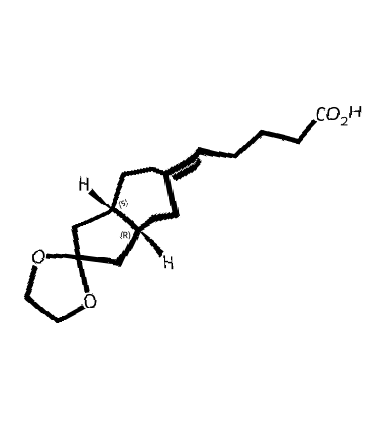 O=C(O)CCCC=C1C[C@@H]2CC3(C[C@@H]2C1)OCCO3